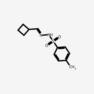 Cc1ccc(S(=O)(=O)NN=CC2CCC2)cc1